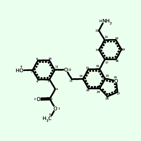 COC(=O)Cc1cc(O)ccc1OCc1cc(-c2cccc(CN)c2)c2occc2c1